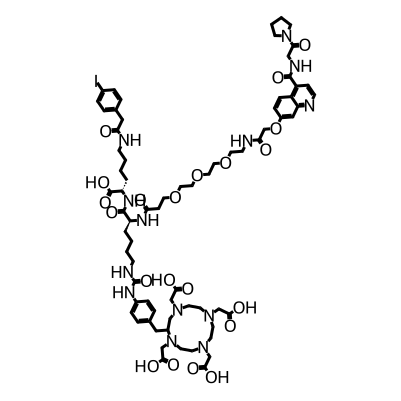 O=C(O)CN1CCN(CC(=O)O)CCN(CC(=O)O)C(Cc2ccc(NC(=O)NCCCC[C@H](NC(=O)CCOCCOCCOCCNC(=O)COc3ccc4c(C(=O)NCC(=O)N5CCCC5)ccnc4c3)C(=O)N[C@@H](CCCCNC(=O)Cc3ccc(I)cc3)C(=O)O)cc2)CN(CC(=O)O)CC1